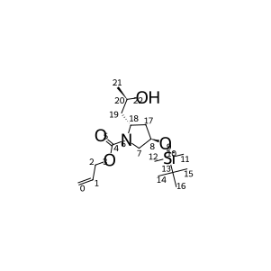 C=CCOC(=O)N1C[C@H](O[Si](C)(C)C(C)(C)C)C[C@H]1C[C@@H](C)O